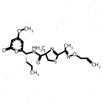 C=CCO/N=C(\C)C1=N[C@](C)(C(=O)N[C@H](CCC)c2cc(OC)cc(=O)o2)CS1